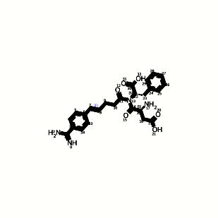 N=C(N)c1ccc(/C=C/CCC(=O)N(C(=O)[C@@H](N)CC(=O)O)[C@@H](Cc2ccccc2)C(=O)O)cc1